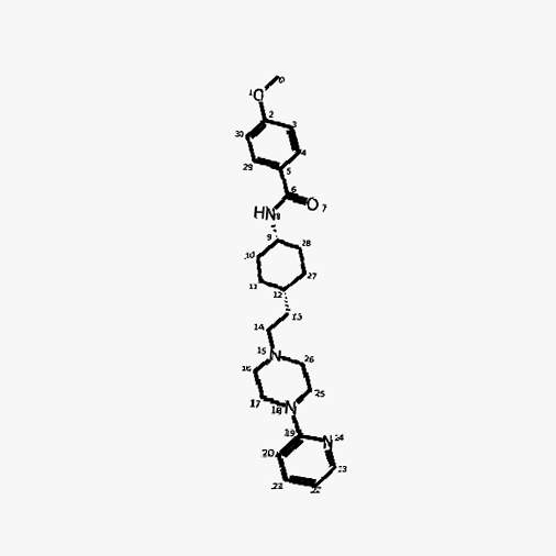 COc1ccc(C(=O)N[C@H]2CC[C@@H](CCN3CCN(c4ccccn4)CC3)CC2)cc1